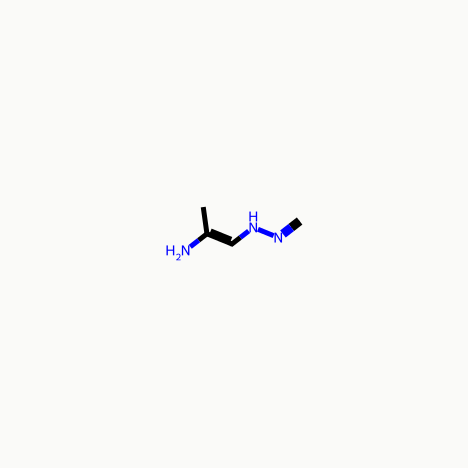 C=NN/C=C(\C)N